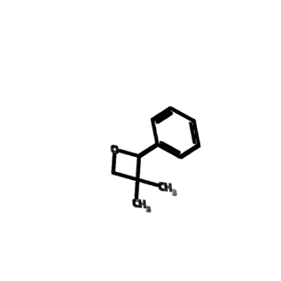 CC1(C)COC1c1ccccc1